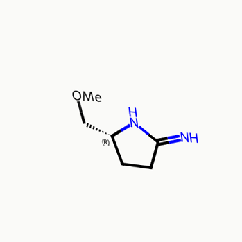 COC[C@H]1CCC(=N)N1